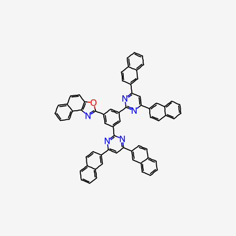 c1ccc2cc(-c3cc(-c4ccc5ccccc5c4)nc(-c4cc(-c5nc(-c6ccc7ccccc7c6)cc(-c6ccc7ccccc7c6)n5)cc(-c5nc6c(ccc7ccccc76)o5)c4)n3)ccc2c1